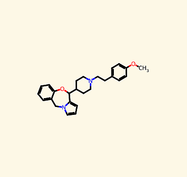 COc1ccc(CCN2CCC(C3Oc4ccccc4Cn4cccc43)CC2)cc1